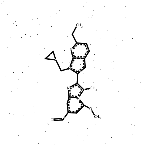 CCc1ccc2cc(-c3nc4cc(C=O)cc(OC)n4c3C)n(CC3CC3)c2n1